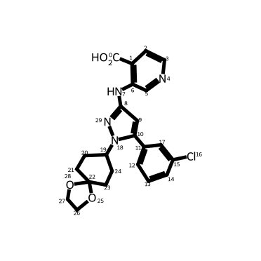 O=C(O)c1ccncc1Nc1cc(-c2cccc(Cl)c2)n(C2CCC3(CC2)OCCO3)n1